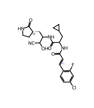 N#CC(O)C(C[C@@H]1CCNC1=O)NC(=O)C(CC1CC1)NC(=O)/C=C/c1ccc(Cl)cc1F